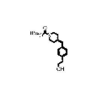 CC(C)(C)OC(=O)N1CCC(=Cc2ccc(CCO)cc2)CC1